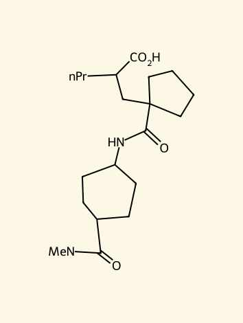 CCCC(CC1(C(=O)NC2CCC(C(=O)NC)CC2)CCCC1)C(=O)O